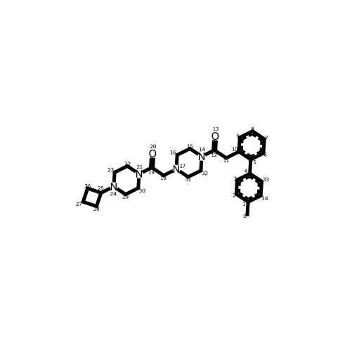 Cc1ccc(-c2ccccc2CC(=O)N2CCN(CC(=O)N3CCN(C4CCC4)CC3)CC2)cc1